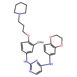 COc1cc(Nc2nccc(Nc3ccc4c(c3)OCCO4)n2)ccc1OCCCN1CCCCC1